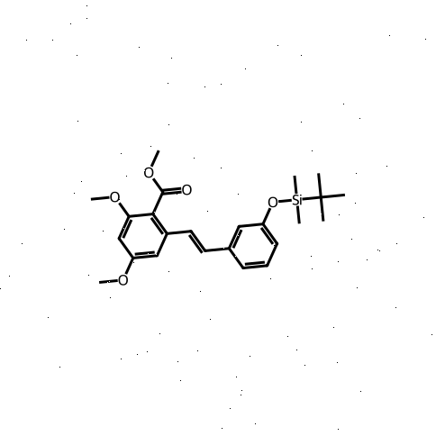 COC(=O)c1c(/C=C/c2cccc(O[Si](C)(C)C(C)(C)C)c2)cc(OC)cc1OC